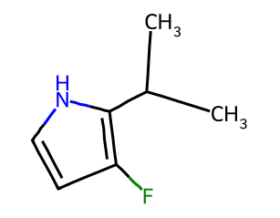 CC(C)c1[nH]ccc1F